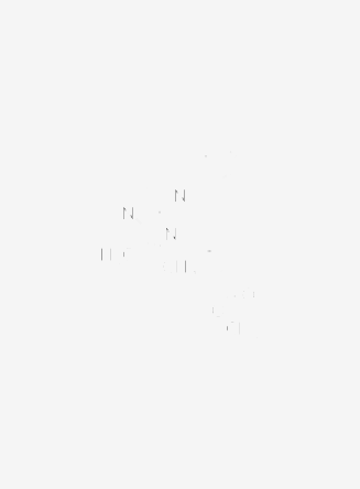 COC(=O)c1ccc(Cn2c(C)c(C)c3nccc(N4CCc5ccccc5C4)c32)cc1